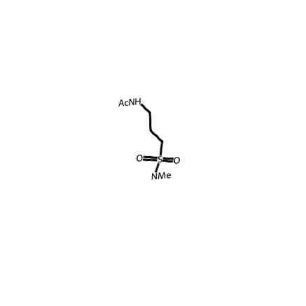 CNS(=O)(=O)CCCNC(C)=O